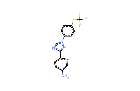 Nc1ccc(-c2ncn(-c3ccc(SC(F)(F)F)cc3)n2)cc1